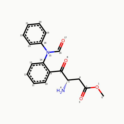 COC(=O)C[C@H](N)C(=O)c1ccccc1N(C=O)c1ccccc1